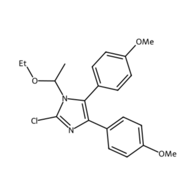 CCOC(C)n1c(Cl)nc(-c2ccc(OC)cc2)c1-c1ccc(OC)cc1